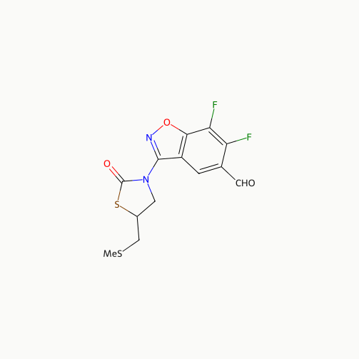 CSCC1CN(c2noc3c(F)c(F)c(C=O)cc23)C(=O)S1